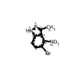 Cc1n[nH]c2ccc(Br)c([N+](=O)[O-])c12